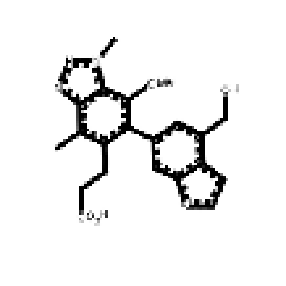 COc1c(-c2cc(CO)c3ccsc3c2)c(CCC(=O)O)c(C)c2nnn(C)c12